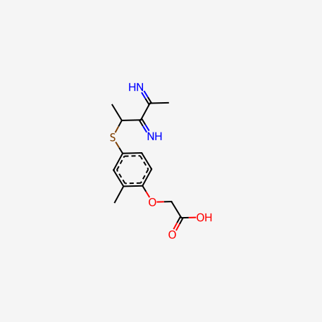 CC(=N)C(=N)C(C)Sc1ccc(OCC(=O)O)c(C)c1